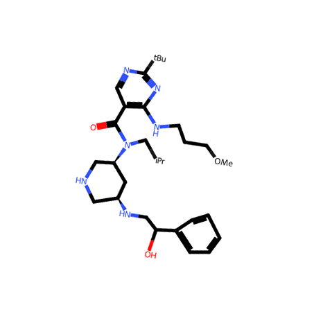 COCCCNc1nc(C(C)(C)C)ncc1C(=O)N(CC(C)C)[C@@H]1CNC[C@H](NCC(O)c2ccccc2)C1